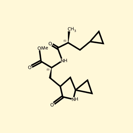 COC(=O)[C@H](CC1CC2(CC2)NC1=O)NC(=O)[C@@H](C)CC1CC1